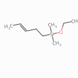 CC=CCC[Si](C)(C)OCC